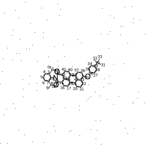 CC(C)c1cccc(C(C)C)c1N1C(=O)c2ccc3c4cccc5c(Oc6ccc(C(C)(C)C)cc6)ccc(c6ccc(c2c36)C1=O)c54